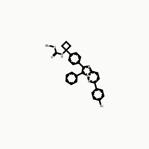 CC(=O)c1ccc(-c2ccc3nc(-c4ccc(C5(NC(=O)OC(C)(C)C)CCC5)cc4)c(-c4ccccc4)n3n2)cc1